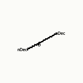 CCCCCCCCCCCCCCCCCCCCCCCCCCC(=O)CCCCCCCCCCCCCCCCCCCC